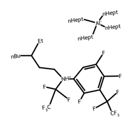 CCCCC(CC)CC[NH+](c1cc(F)c(F)c(C(F)(F)C(F)(F)F)c1F)C(F)(F)C(F)(F)F.CCCCCC[CH2][Al-]([CH2]CCCCCC)([CH2]CCCCCC)[CH2]CCCCCC